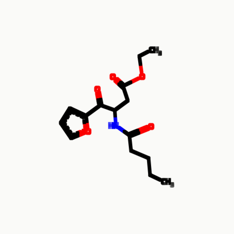 CCCCC(=O)NC(CC(=O)OCC)C(=O)c1ccco1